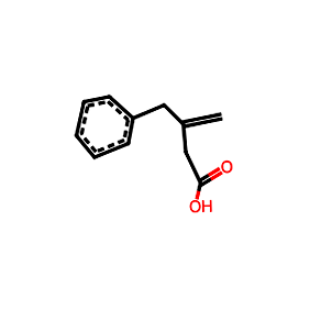 C=C(CC(=O)O)Cc1ccccc1